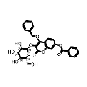 O=C(Oc1ccc2c(OCc3ccccc3)c(O[C@H]3O[C@H](CO)[C@@H](O)[C@H](O)[C@@H]3O)c(=O)oc2c1)c1ccccc1